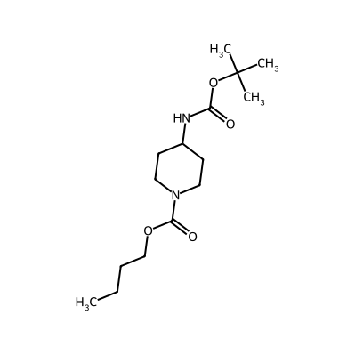 CCCCOC(=O)N1CCC(NC(=O)OC(C)(C)C)CC1